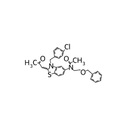 CC(=O)C=C1Sc2ccc(N(CCOCc3ccccc3)C(C)=O)cc2N1Cc1ccc(Cl)cc1